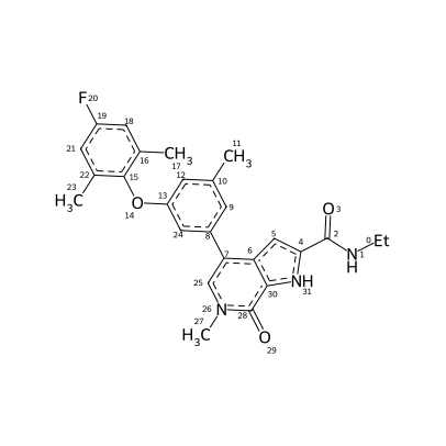 CCNC(=O)c1cc2c(-c3cc(C)cc(Oc4c(C)cc(F)cc4C)c3)cn(C)c(=O)c2[nH]1